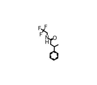 CC(CC(=O)NCC(F)(F)F)c1ccccc1